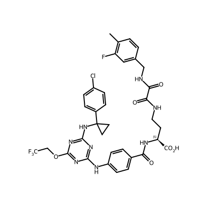 Cc1ccc(CNC(=O)C(=O)NCC[C@H](NC(=O)c2ccc(Nc3nc(NC4(c5ccc(Cl)cc5)CC4)nc(OCC(F)(F)F)n3)cc2)C(=O)O)cc1F